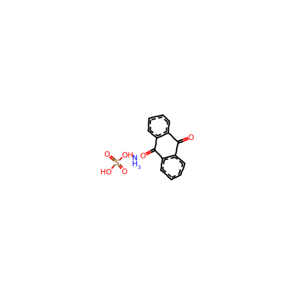 N.O=C1c2ccccc2C(=O)c2ccccc21.O=S(=O)(O)O